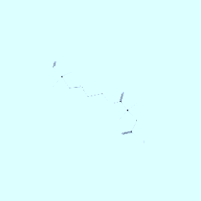 CC(C)(C=O)CNCCSC(=O)C(C)(C)CC(=O)O